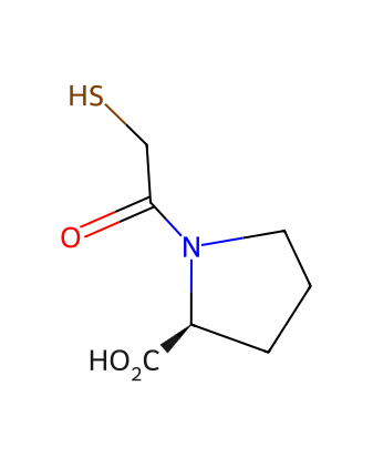 O=C(O)[C@@H]1CCCN1C(=O)CS